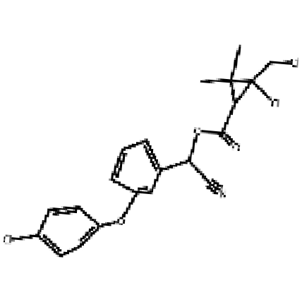 CC1(C)C(C(=O)OC(C#N)c2cccc(Oc3ccc(Cl)cc3)c2)C1(Cl)CCl